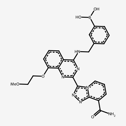 COCCOc1cccc2c(NCc3cccc(B(O)O)c3)nc(-c3nnc4c(C(N)=O)cccn34)nc12